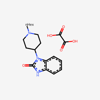 CCCCCCN1CCC(n2c(=O)[nH]c3ccccc32)CC1.O=C(O)C(=O)O